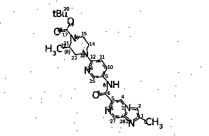 Cc1cn2cc(C(=O)Nc3ccc(N4CCN(C(=O)OC(C)(C)C)[C@H](C)C4)nc3)ncc2n1